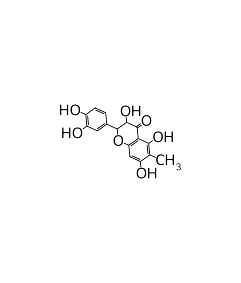 Cc1c(O)cc2c(c1O)C(=O)C(O)C(c1ccc(O)c(O)c1)O2